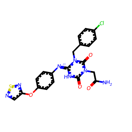 NC(=O)Cn1c(=O)[nH]/c(=N\c2ccc(Oc3cnsn3)cc2)n(Cc2ccc(Cl)cc2)c1=O